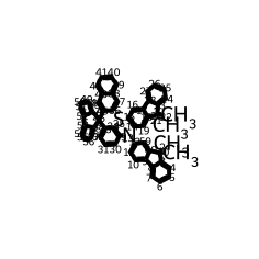 CC1(C)c2ccccc2-c2ccc(N(c3ccc4c(c3)C(C)(C)c3ccccc3-4)c3cccc4c3Sc3cc5ccccc5cc3C43c4ccccc4-c4ccccc43)cc21